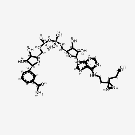 C#CCCC1(CCNc2ncnc3c2ncn3[C@H]2O[C@@H](COP(=O)(O)OP(=O)(O)OC[C@H]3O[C@@H](c4cccc(C(N)=O)c4)C(O)C3O)C(O)C2O)N=N1